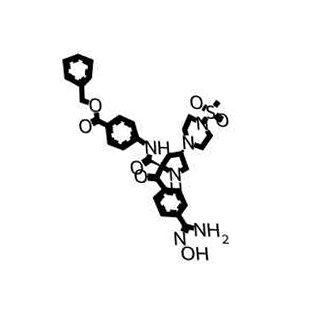 CS(=O)(=O)N1CCN([C@@H]2CN[C@](C(=O)Nc3ccc(C(=O)OCc4ccccc4)cc3)(C(=O)c3ccc(C(N)=NO)cc3)C2)CC1